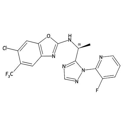 C[C@H](Nc1nc2cc(C(F)(F)F)c(Cl)cc2o1)c1ncnn1-c1ncccc1F